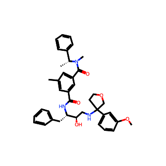 COc1cccc(C2(NC[C@@H](O)[C@H](Cc3ccccc3)NC(=O)c3cc(C)cc(C(=O)N(C)[C@H](C)c4ccccc4)c3)CCOC2)c1